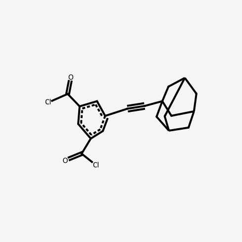 O=C(Cl)c1cc(C#CC23CC4CC(CC(C4)C2)C3)cc(C(=O)Cl)c1